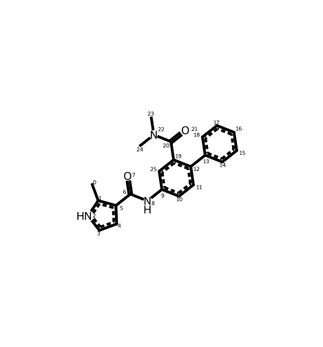 Cc1[nH]ccc1C(=O)Nc1ccc(-c2ccccc2)c(C(=O)N(C)C)c1